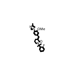 COc1cc(C=C2CCCN(C(C)(C)c3ccccc3F)C2=O)ccc1-n1cnc(C)c1